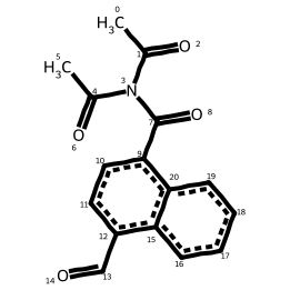 CC(=O)N(C(C)=O)C(=O)c1ccc(C=O)c2ccccc12